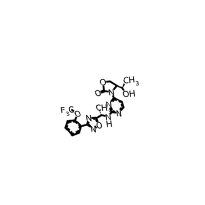 C[C@H](Nc1nccc(N2C(=O)OCC2[C@@H](C)O)n1)c1nc(-c2ccccc2OC(F)(F)F)no1